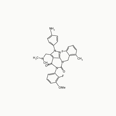 COc1cccc(-n2c(=O)c3c(CN(C)C)n(-c4ccc(N)cc4)nc3n(Cc3c(C)cccc3F)c2=O)c1F